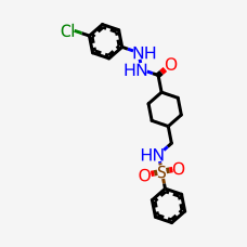 O=C(NNc1ccc(Cl)cc1)C1CCC(CNS(=O)(=O)c2ccccc2)CC1